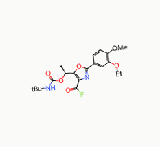 CCOc1cc(-c2nc(C(=O)F)c([C@H](C)OC(=O)NC(C)(C)C)o2)ccc1OC